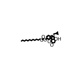 CCCCCCCCCCCCOC(=O)Oc1ccc2c3c1OC1C(=O)CCC4(O)C(C2)N(CC2CC2)CCC314